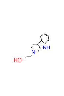 OCCCN1CCc2c([nH]c3ccccc23)C1